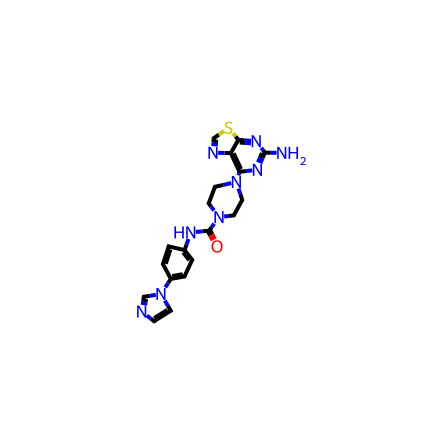 Nc1nc(N2CCN(C(=O)Nc3ccc(-n4ccnc4)cc3)CC2)c2ncsc2n1